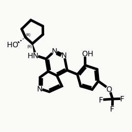 Oc1cc(OC(F)(F)F)ccc1-c1nnc(N[C@@H]2CCCC[C@H]2O)c2cnccc12